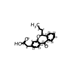 CCCC1Oc2cc(CC(=O)O)ccc2C(=O)c2ccccc21